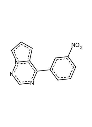 O=[N+]([O-])c1cccc(-c2ncnn3cccc23)c1